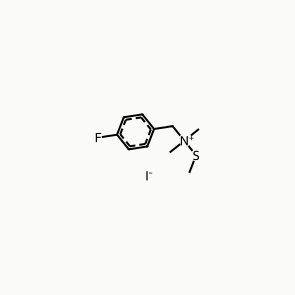 CS[N+](C)(C)Cc1ccc(F)cc1.[I-]